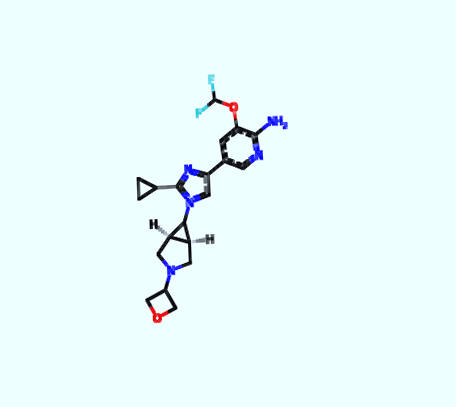 Nc1ncc(-c2cn(C3[C@H]4CN(C5COC5)C[C@@H]34)c(C3CC3)n2)cc1OC(F)F